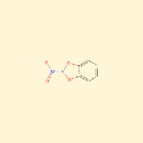 O=[N+]([O-])N1Oc2ccccc2O1